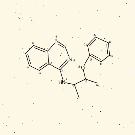 CC(Nc1ncnc2ccccc12)C(C)Oc1ccccc1